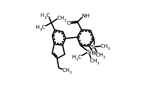 CCC1=Cc2cc(C(C)(C)C)cc(-c3c(C([NH])=O)cc4c(Br)c3[Si](C)(C)[Si]4(C)C)c2C1